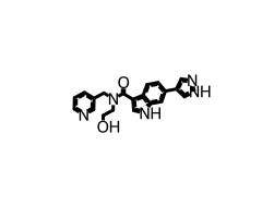 O=C(c1c[nH]c2cc(-c3cn[nH]c3)ccc12)N(CCO)Cc1cccnc1